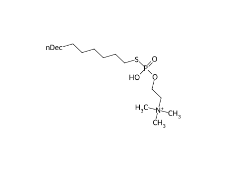 CCCCCCCCCCCCCCCCSP(=O)(O)OCC[N+](C)(C)C